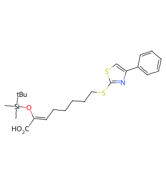 CC(C)(C)[Si](C)(C)O/C(=C\CCCCCSc1nc(-c2ccccc2)cs1)C(=O)O